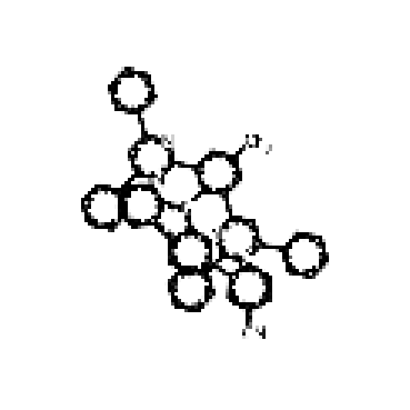 N#Cc1cccc(-c2ccc3c4ccccc4n(-c4c(-c5cc(-c6ccccc6)nc(-c6ccccc6)n5)cc(C(F)(F)F)cc4-c4nc(-c5ccccc5)cc(-c5ccccc5)n4)c3c2)c1